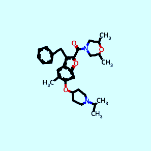 Cc1cc2c(Cc3ccccc3)c(C(=O)N3CC(C)OC(C)C3)oc2cc1OC1CCN(C(C)C)CC1